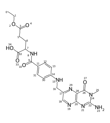 CCOC(=O)CCC(NC(=O)c1ccc(NCc2cnc3nc(N)n(C)c(=O)c3n2)cc1)C(=O)O